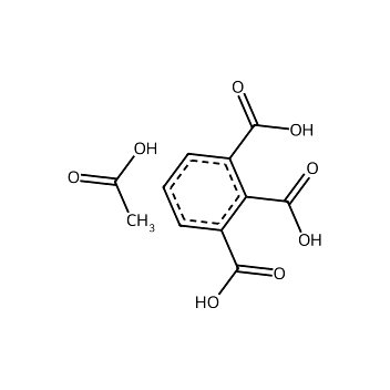 CC(=O)O.O=C(O)c1cccc(C(=O)O)c1C(=O)O